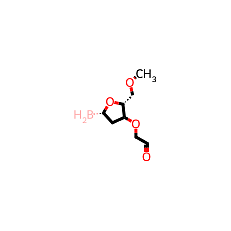 B[C@H]1CC(OCC=O)[C@@H](COC)O1